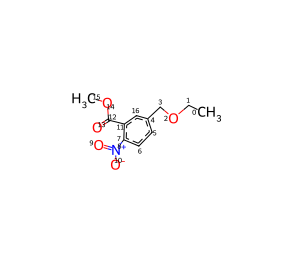 CCOCc1ccc([N+](=O)[O-])c(C(=O)OC)c1